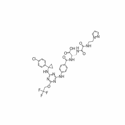 O=C(NCCn1cccn1)C(=O)NC[C@H](NC(=O)c1ccc(Nc2nc(NC3(c4ccc(Cl)cc4)CC3)nc(OCC(F)(F)F)n2)cc1)C(=O)O